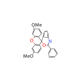 COc1ccc2c(c1)Oc1cc(OC)ccc1C21OC(c2ccccc2)=Nc2ccccc21